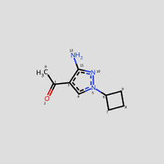 CC(=O)c1cn(C2CCC2)nc1N